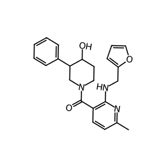 Cc1ccc(C(=O)N2CCC(O)C(c3ccccc3)C2)c(NCc2ccco2)n1